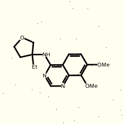 CCC1(Nc2ncnc3c(OC)c(OC)ccc23)CCOC1